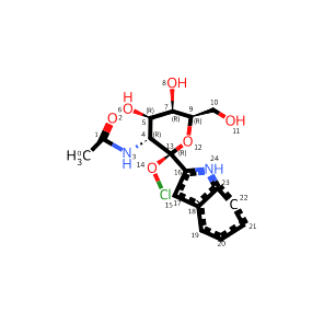 CC(=O)N[C@@H]1[C@@H](O)[C@@H](O)[C@@H](CO)O[C@]1(OCl)c1cc2ccccc2[nH]1